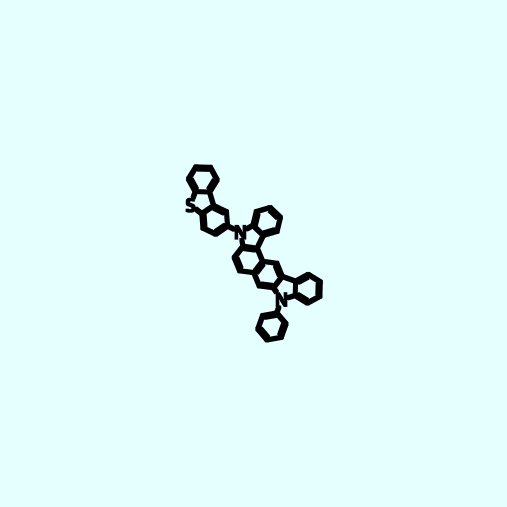 c1ccc(-n2c3ccccc3c3cc4c(ccc5c4c4ccccc4n5-c4ccc5sc6ccccc6c5c4)cc32)cc1